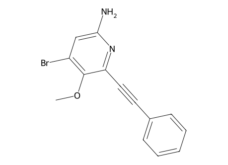 COc1c(Br)cc(N)nc1C#Cc1ccccc1